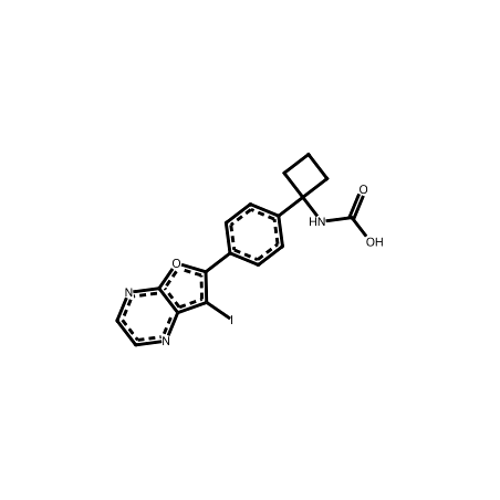 O=C(O)NC1(c2ccc(-c3oc4nccnc4c3I)cc2)CCC1